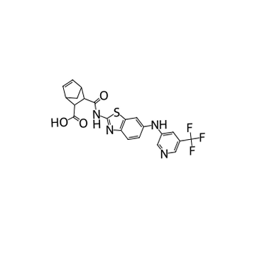 O=C(O)C1C2C=CC(C2)C1C(=O)Nc1nc2ccc(Nc3cncc(C(F)(F)F)c3)cc2s1